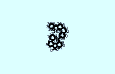 CC1(C)c2ccccc2-c2c(N(c3ccccc3)c3ccc4ccc5ccc6c7ccccc7[se]c6c5c4c3)cccc21